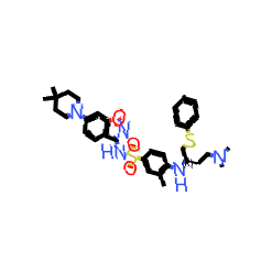 Cc1cc(S(=O)(=O)Nc2noc3cc(N4CCC(C)(C)CC4)ccc23)ccc1N[C@H](CCN(C)C)CSc1ccccc1